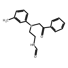 Cc1cccc(N(CCNC=O)CC(=O)c2ccccc2)c1